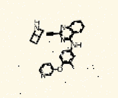 C#Cc1nc(Nc2ccc(Oc3cccnc3)c(C)c2)c2ccccc2n1.C1CC2NCC12